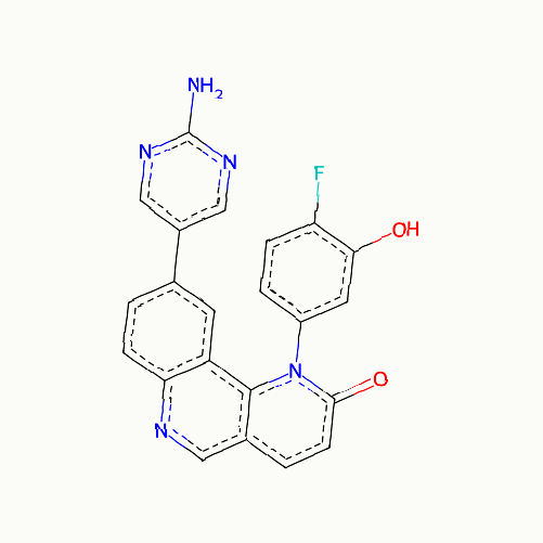 Nc1ncc(-c2ccc3ncc4ccc(=O)n(-c5ccc(F)c(O)c5)c4c3c2)cn1